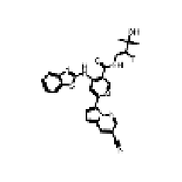 CC(C)(O)C(F)CNC(=O)c1cnc(-c2ccc3cc(C#N)cnn23)cc1Nc1nc2ccccc2s1